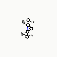 CC(C)c1cccc(C(C)C)c1-c1cc2c3cccc4c5cc(-c6c(C(C)C)cccc6C(C)C)c(C#N)cc5n(c2cc1C#N)c34